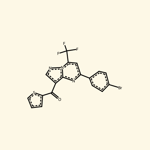 O=C(c1cccs1)c1cnn2c(C(F)(F)F)cc(-c3ccc(Br)cc3)nc12